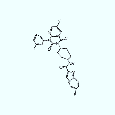 O=C(N[C@H]1CC[C@@H](n2c(=O)c3cc(F)cnc3n(-c3cccc(I)c3)c2=O)CC1)c1cn2cc(F)ccc2n1